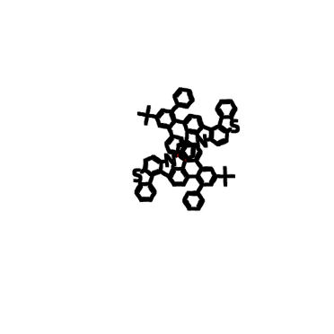 CC(C)(C)c1cc(-c2ccccc2)c(-c2ccc3c4c5c(ccc4n4c6cc7c8c(-c9c(-c%10ccccc%10)cc(C(C)(C)C)cc9-c9ccccc9)ccc9c%10c%11c(ccc%10n(c7cc6c2c34)c98)sc2ccccc2%11)sc2ccccc25)c(-c2ccccc2)c1